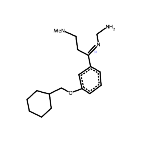 CNCC/C(=N\CN)c1cccc(OCC2CCCCC2)c1